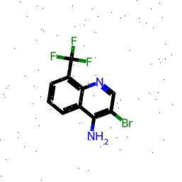 Nc1c(Br)cnc2c(C(F)(F)F)cccc12